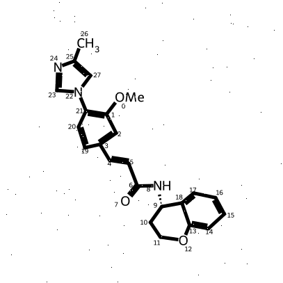 COc1cc(/C=C/C(=O)N[C@H]2CCOc3ccccc32)ccc1-n1cnc(C)c1